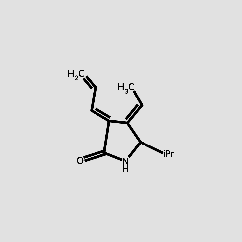 C=C/C=C1/C(=O)NC(C(C)C)/C1=C/C